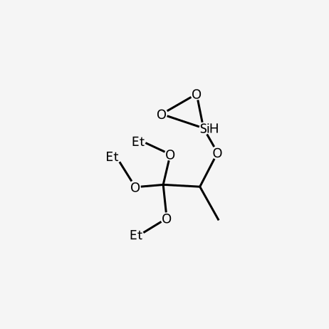 CCOC(OCC)(OCC)C(C)O[SiH]1OO1